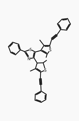 CC1=C(C#Cc2ccccc2)SC(C)C1c1nc(-c2ccccc2)sc1-c1c(C)sc(C#Cc2ccccc2)c1C